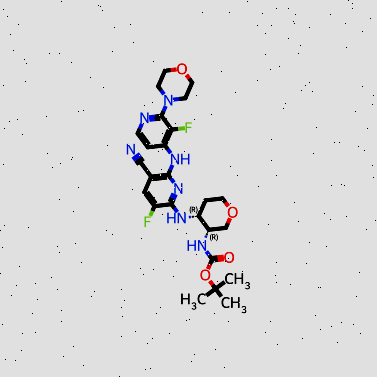 CC(C)(C)OC(=O)N[C@H]1COCC[C@H]1Nc1nc(Nc2ccnc(N3CCOCC3)c2F)c(C#N)cc1F